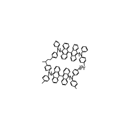 Cc1ccc(N(c2ccccc2)c2c3ccccc3c(-c3c4ccccc4c(N(c4ccccc4)c4ccc(CCC(C)c5ccc(N(c6ccc(C)cc6)c6c7ccccc7c(-c7c8ccccc8c(N(c8ccc(C)cc8)c8ccc(C(C)C)cc8)c8ccccc78)c7ccccc67)cc5)cc4)c4ccccc34)c3ccccc23)cc1